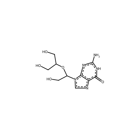 Nc1nc2c(ncn2C(CO)OC(CO)CO)c(=O)[nH]1